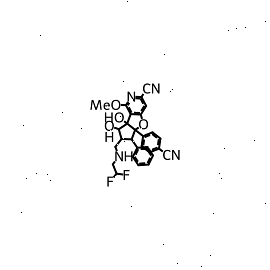 COc1nc(C#N)cc2c1C1(O)C(O)C(CNCC(F)F)C(c3ccccc3)C1(c1ccc(C#N)cc1)O2